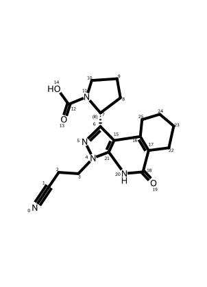 N#CCCn1nc([C@H]2CCCN2C(=O)O)c2c3c(c(=O)[nH]c21)CCCC3